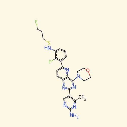 Nc1ncc(-c2nc(N3CCOCC3)c3nc(-c4cccc(NSCCCF)c4F)ccc3n2)c(C(F)(F)F)n1